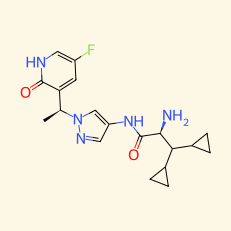 C[C@@H](c1cc(F)c[nH]c1=O)n1cc(NC(=O)[C@@H](N)C(C2CC2)C2CC2)cn1